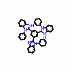 C1=CCCC(n2c(-c3cc(C4Nc5ccccc5N4C4=CCCC=C4)cc(C4Nc5ccccc5N4c4ccccc4)c3)nc3ccccc32)=C1